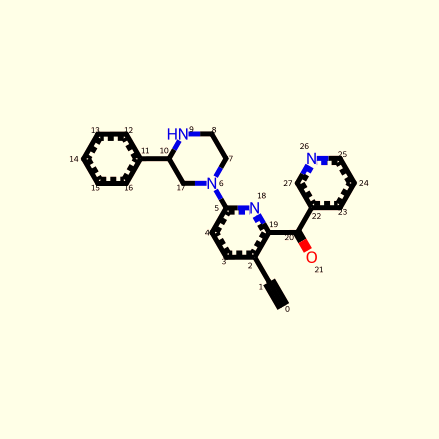 C#Cc1ccc(N2CCNC(c3ccccc3)C2)nc1C(=O)c1cccnc1